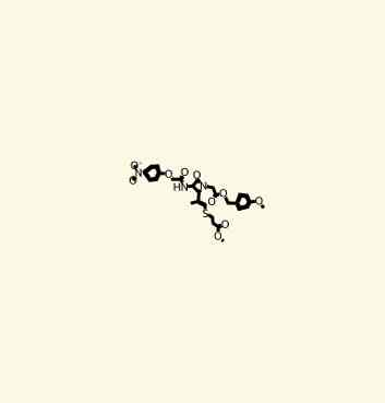 COC(=O)CCSC=C(C)C1C(NC(=O)COc2ccc([N+](=O)[O-])cc2)C(=O)N1CC(=O)OCc1ccc(OC)cc1